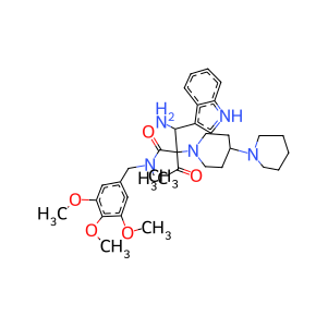 COc1cc(CN(C)C(=O)C(C(C)=O)(C(N)c2c[nH]c3ccccc23)N2CCC(N3CCCCC3)CC2)cc(OC)c1OC